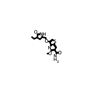 CCC1CC(COc2csc3cc(C(N)=O)c(OC)nc23)NC1=O